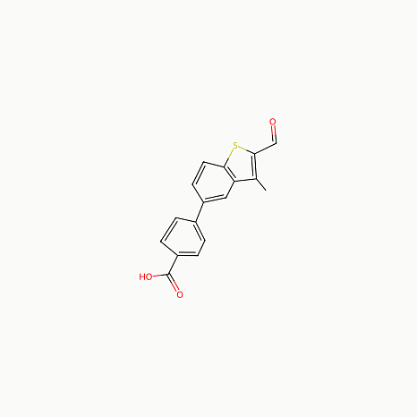 Cc1c(C=O)sc2ccc(-c3ccc(C(=O)O)cc3)cc12